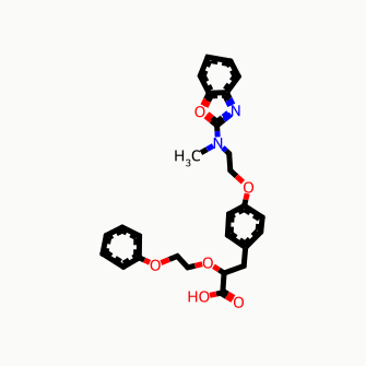 CN(CCOc1ccc(CC(OCCOc2ccccc2)C(=O)O)cc1)c1nc2ccccc2o1